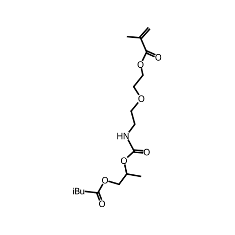 C=C(C)C(=O)OCCOCCNC(=O)OC(C)COC(=O)C(C)CC